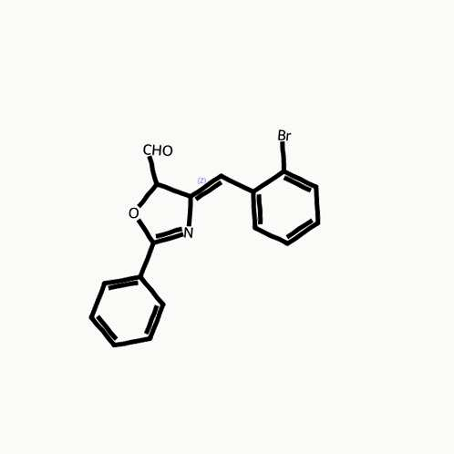 O=CC1OC(c2ccccc2)=N/C1=C\c1ccccc1Br